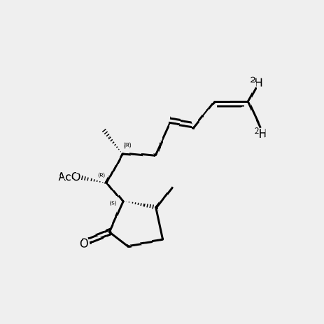 [2H]C([2H])=CC=CC[C@@H](C)[C@@H](OC(C)=O)[C@H]1C(=O)CCC1C